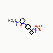 CS(=O)(=O)NCC1(c2ccc(N3CCCC(NC(=O)O)C3=O)cc2)CCC1